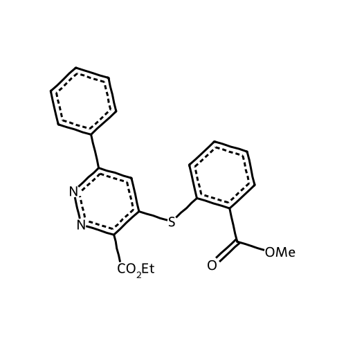 CCOC(=O)c1nnc(-c2ccccc2)cc1Sc1ccccc1C(=O)OC